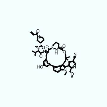 C=CC(=O)N1CC[C@H](C(=O)N(C)C(C(=O)N[C@H]2Cc3cc(O)cc(c3)-c3ccc4c(c3)c(c(-c3cc(C#N)cnc3COC)n4CC)CC(C)(C)COC(=O)[C@@H]3CCCN(N3)C2=O)C(C)C)C1